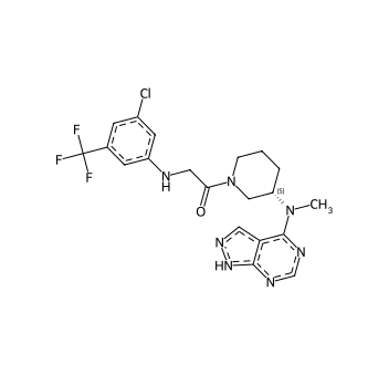 CN(c1ncnc2[nH]ncc12)[C@H]1CCCN(C(=O)CNc2cc(Cl)cc(C(F)(F)F)c2)C1